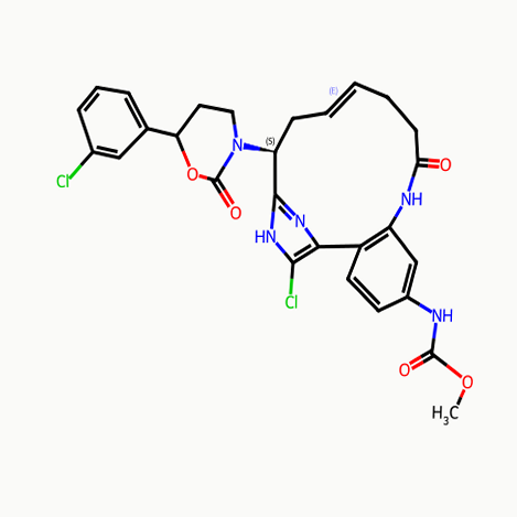 COC(=O)Nc1ccc2c(c1)NC(=O)CC/C=C/C[C@H](N1CCC(c3cccc(Cl)c3)OC1=O)c1nc-2c(Cl)[nH]1